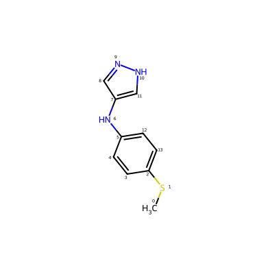 CSc1ccc(Nc2cn[nH]c2)cc1